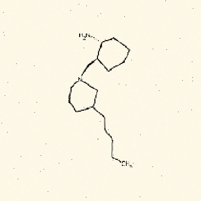 CCCCCC1CCCN(C[C@@H]2CCCC[C@H]2N)C1